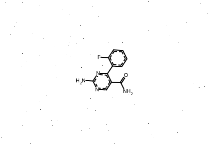 NC(=O)c1cnc(N)nc1-c1ccccc1F